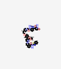 Cc1c(OCC[C@H](C)C2CCN(CC(=O)Nc3cccc4c(C5CCC(=O)NC5=O)nn(C)c34)CC2)cccc1-c1ccc(N2CCc3cccc(C(=O)Nc4nc5ccccc5s4)c3C2)nc1C(=O)OC(C)(C)C